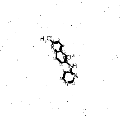 Cc1ccc2cc(Nc3ccncn3)ccc2n1.Cl